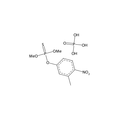 COP(=S)(OC)Oc1ccc([N+](=O)[O-])c(C)c1.O=P(O)(O)O